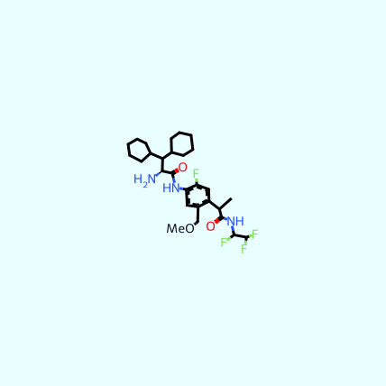 COCc1cc(NC(=O)[C@@H](N)C(C2CCCCC2)C2CCCCC2)c(F)cc1C(C)C(=O)NC(F)C(F)F